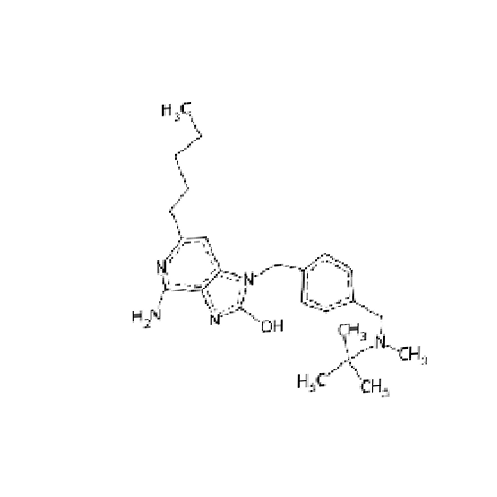 CCCCCc1cc2c(nc(O)n2Cc2ccc(CN(C)C(C)(C)C)cc2)c(N)n1